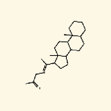 CC(=O)C/N=C(\C)C1CCC2C3CCC4CCCCC4(C)C3CCC12C